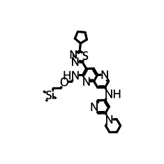 C[Si](C)(C)CCOCNc1nc2cc(Nc3cncc(N4CCCCC4)c3)cnc2cc1-c1nnc(C2CCCC2)s1